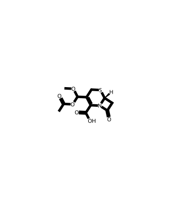 COC(OC(C)=O)C1=C(C(=O)O)N2C(=O)C[C@H]2SC1